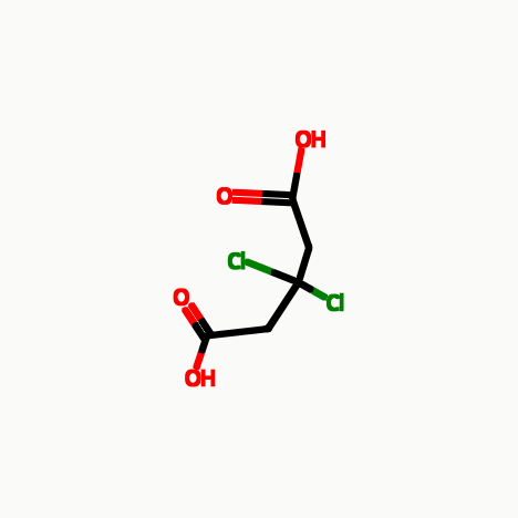 O=C(O)CC(Cl)(Cl)CC(=O)O